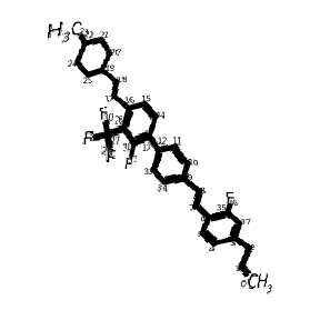 CCCc1ccc(CCc2ccc(-c3ccc(CCC4CCC(C)CC4)c(C(F)(F)F)c3F)cc2)c(F)c1